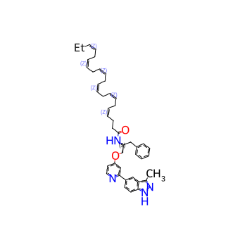 CC/C=C\C/C=C\C/C=C\C/C=C\C/C=C\C/C=C\CCC(=O)N[C@H](COc1ccnc(-c2ccc3[nH]nc(C)c3c2)c1)Cc1ccccc1